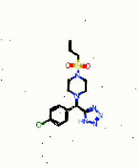 CCCS(=O)(=O)N1CCN(C(c2ccc(Cl)cc2)c2nnn[nH]2)CC1